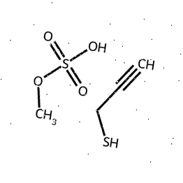 C#CCS.COS(=O)(=O)O